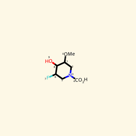 COC1CN(C(=O)O)CC(F)C1O